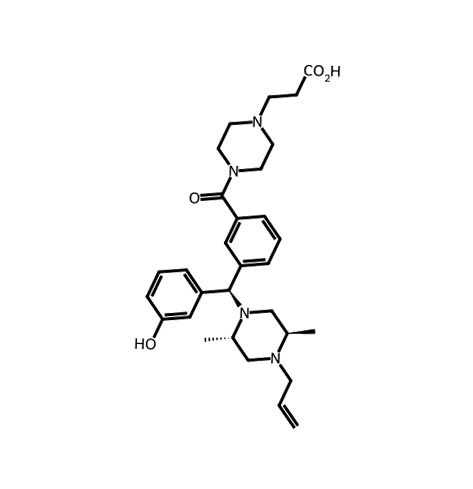 C=CCN1C[C@H](C)N([C@@H](c2cccc(O)c2)c2cccc(C(=O)N3CCN(CCC(=O)O)CC3)c2)C[C@H]1C